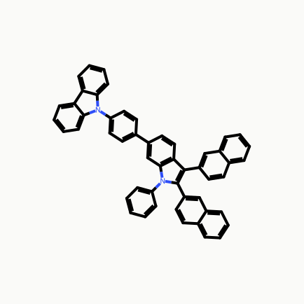 c1ccc(-n2c(-c3ccc4ccccc4c3)c(-c3ccc4ccccc4c3)c3ccc(-c4ccc(-n5c6ccccc6c6ccccc65)cc4)cc32)cc1